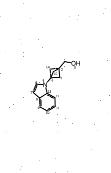 OCC12CC(n3ccc4ccccc43)(C1)C2